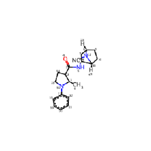 CC1C(C(=O)N[C@@H]2C[C@@H]3CC[C@H]2N3C#N)CCN1c1ccccc1